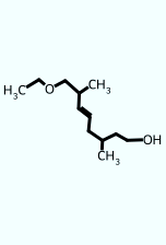 CCOCC(C)C=CCC(C)CCO